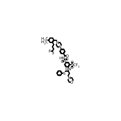 CC1(C)CCC(CN2CCN(c3ccc(C(=O)NS(=O)(=O)c4ccc(NC(CCN5CCOCC5)CSc5ccccc5)c(S(=O)(=O)C(F)(F)F)c4)cc3)CC2)=C(CCCC(F)F)C1